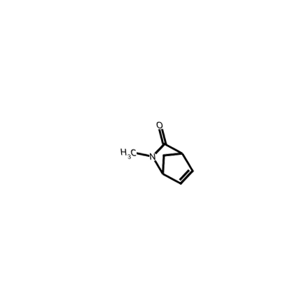 CN1C(=O)C2C=CC1C2